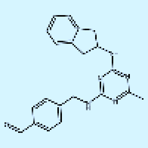 Cc1nc(NCc2ccc(C=O)cc2)nc(NC2Cc3ccccc3C2)n1